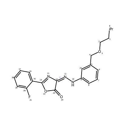 CC(C)CCOCc1cccc(N/N=C2/N=C(c3ccccc3F)OC2=O)c1